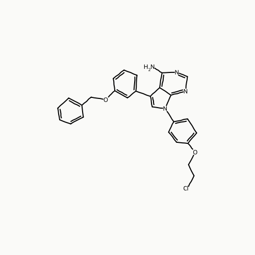 Nc1ncnc2c1c(-c1cccc(OCc3ccccc3)c1)cn2-c1ccc(OCCCl)cc1